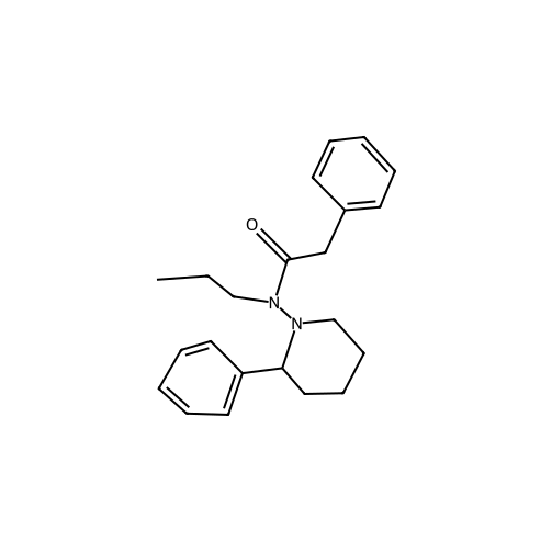 CCCN(C(=O)Cc1ccccc1)N1CCCCC1c1ccccc1